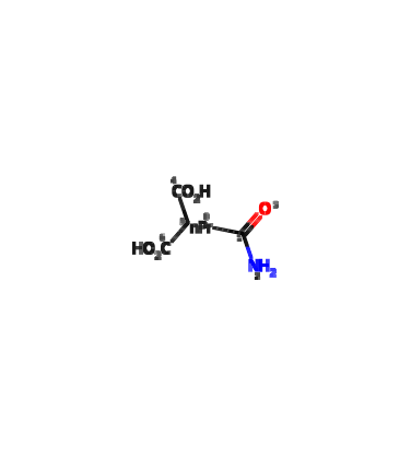 CCCC(N)=O.O=C(O)CC(=O)O